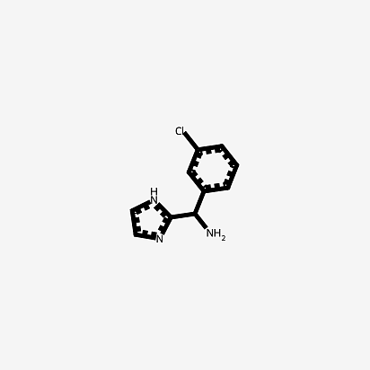 NC(c1cccc(Cl)c1)c1ncc[nH]1